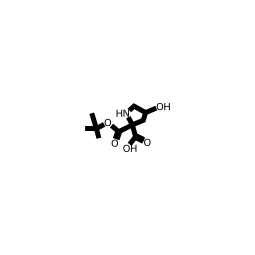 CC(C)(C)OC(=O)C1(C(=O)O)CC(O)CN1